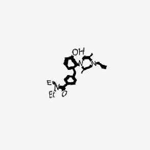 C=CCN1C[C@@H](C)N(c2c(O)cccc2Cc2ccc(C(=O)N(CC)CC)cc2)C[C@H]1C